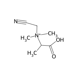 CC(C(=O)O)[N+](C)(C)CC#N